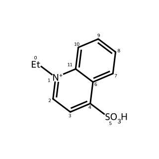 CC[n+]1ccc(S(=O)(=O)O)c2ccccc21